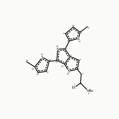 CCCCC(CC)Cc1cc2c(-c3ccc(C)s3)sc(-c3ccc(C)s3)c2s1